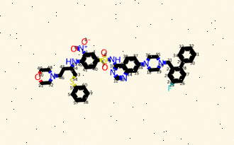 O=[N+]([O-])c1cc(S(=O)(=O)Nc2ncnc3cc(N4CCN(Cc5cc(F)ccc5-c5ccccc5)CC4)ccc23)ccc1NC(CCN1CCOCC1)CSc1ccccc1